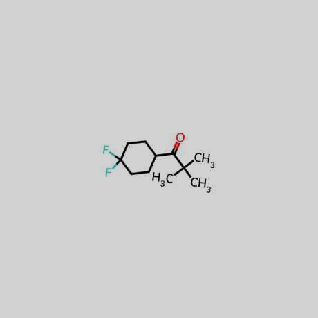 CC(C)(C)C(=O)C1CCC(F)(F)CC1